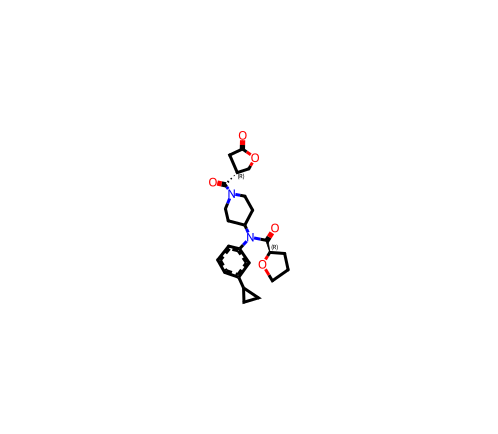 O=C1C[C@@H](C(=O)N2CCC(N(C(=O)[C@H]3CCCO3)c3cccc(C4CC4)c3)CC2)CO1